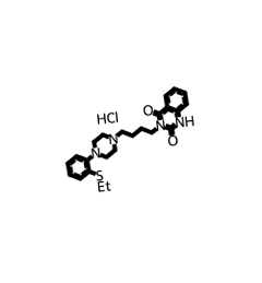 CCSc1ccccc1N1CCN(CCCCn2c(=O)[nH]c3ccccc3c2=O)CC1.Cl